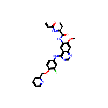 C=CC(=O)N[C@@H](CC)C(=O)Nc1cc2c(Nc3ccc(OCc4ccccn4)c(Cl)c3)ncnc2cc1OC